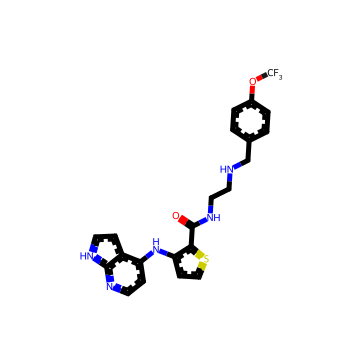 O=C(NCCNCc1ccc(OC(F)(F)F)cc1)c1sccc1Nc1ccnc2[nH]ccc12